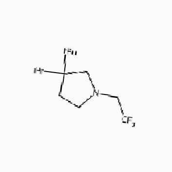 CC(C)C1(C(C)(C)C)CCN(CC(F)(F)F)C1